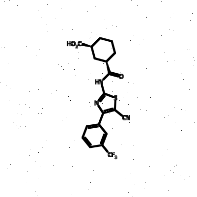 N#Cc1sc(NC(=O)[C@@H]2CCC[C@H](C(=O)O)C2)nc1-c1cccc(C(F)(F)F)c1